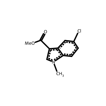 COC(=O)c1cn(C)c2ccc(Cl)cc12